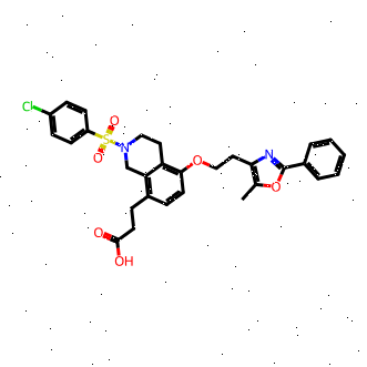 Cc1oc(-c2ccccc2)nc1CCOc1ccc(CCC(=O)O)c2c1CCN(S(=O)(=O)c1ccc(Cl)cc1)C2